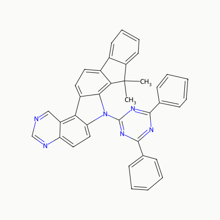 CC1(C)c2ccccc2-c2ccc3c4c5cncnc5ccc4n(-c4nc(-c5ccccc5)nc(-c5ccccc5)n4)c3c21